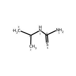 [CH2]C(C)NC(N)=S